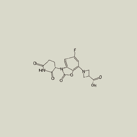 O=C1CCC(n2c(=O)oc3c(N4CC(C(=O)O)C4)cc(F)cc32)C(=O)N1